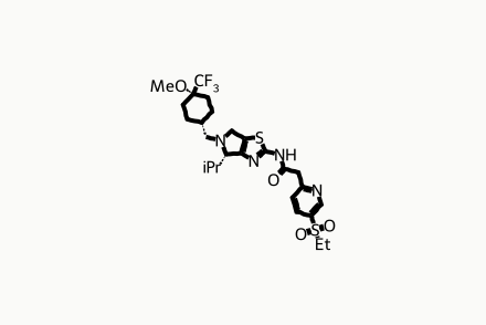 CCS(=O)(=O)c1ccc(CC(=O)Nc2nc3c(s2)CN(C[C@H]2CC[C@](OC)(C(F)(F)F)CC2)[C@H]3C(C)C)nc1